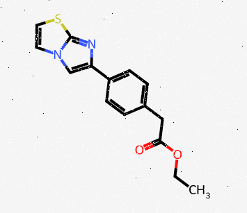 CCOC(=O)Cc1ccc(-c2cn3ccsc3n2)cc1